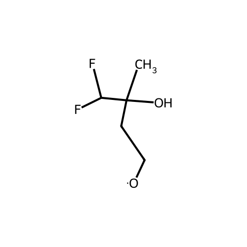 CC(O)(CC[O])C(F)F